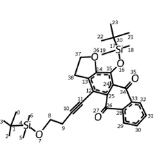 CC(C)(C)[Si](C)(C)OCCC#Cc1c2c(c(O[Si](C)(C)C(C)(C)C)c3c1C(=O)c1ccccc1C3=O)OCC2